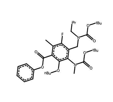 CCCCOc1c(C(=O)Oc2ccccc2)c(C)c(F)c(CN(CC(C)C)C(=O)OC(C)(C)C)c1N(C)C(=O)OC(C)(C)C